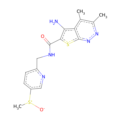 Cc1nnc2sc(C(=O)NCc3ccc([S+](C)[O-])cn3)c(N)c2c1C